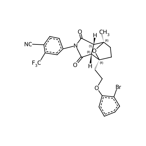 C[C@]12CC[C@](CCOc3ccccc3Br)(O1)[C@@H]1C(=O)N(c3ccc(C#N)c(C(F)(F)F)c3)C(=O)[C@@H]12